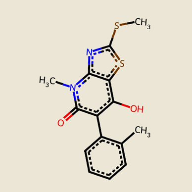 CSc1nc2c(s1)c(O)c(-c1ccccc1C)c(=O)n2C